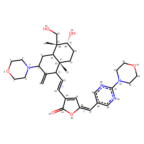 C=C1C(N2CCOCC2)CC2[C@](C)(CC[C@@H](O)[C@@]2(C)CO)C1/C=C/C1=CC(=C\c2cnc(N3CCOCC3)nc2)/OC1=O